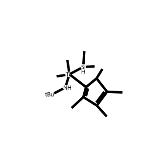 CC1=C(C)C(C)[C]([Ti]([CH3])([CH3])([NH]C(C)(C)C)[SiH](C)C)=C1C